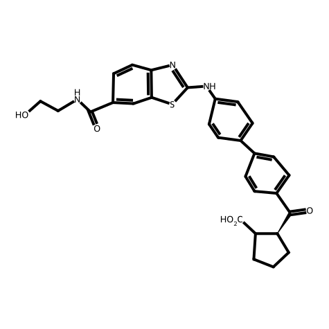 O=C(NCCO)c1ccc2nc(Nc3ccc(-c4ccc(C(=O)[C@H]5CCCC5C(=O)O)cc4)cc3)sc2c1